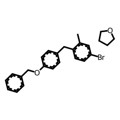 C1CCOC1.Cc1cc(Br)ccc1Cc1ccc(OCc2ccccc2)cc1